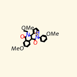 COCCN1C(=O)c2cc(OC)ccc2C(C(=O)Nc2cccc(OC)c2)C1c1cccs1